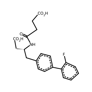 O=C(O)CCC(=O)N[C@@H](CC(=O)O)Cc1ccc(-c2ccccc2F)cc1